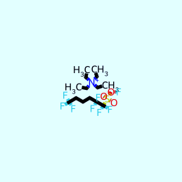 CC[N+](CC)(CC)CC.O=S(=O)(OF)C(F)(F)C(F)(F)CCCC(F)(F)F